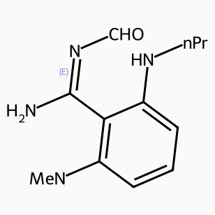 CCCNc1cccc(NC)c1/C(N)=N\C=O